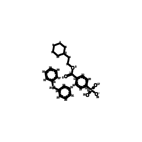 O=C(OCCC1CCCCC1)c1ccc(S(=O)(=O)[O-])cc1.c1ccc([I+]c2ccccc2)cc1